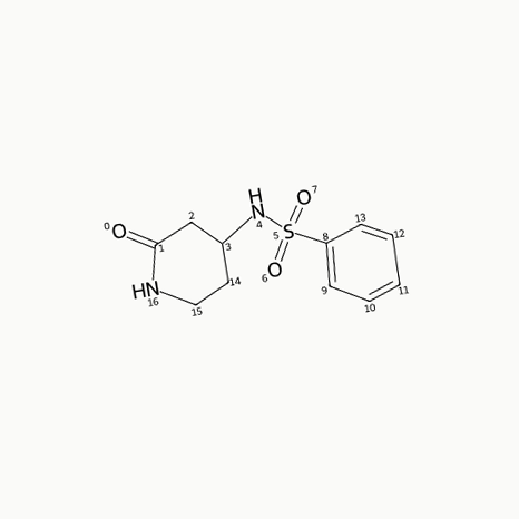 O=C1CC(NS(=O)(=O)c2ccccc2)CCN1